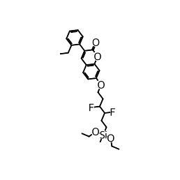 CCO[Si](C)(CCC(F)C(F)CCOc1ccc2cc(-c3ccccc3CC)c(=O)oc2c1)OCC